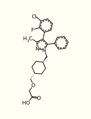 Cc1nn(C[C@H]2CC[C@H](COCC(=O)O)CC2)c(-c2ccccc2)c1-c1cccc(Cl)c1F